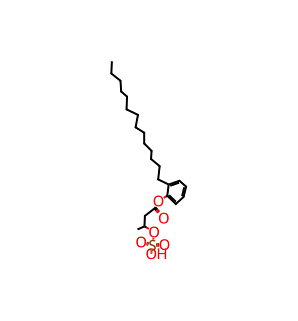 CCCCCCCCCCCCCCc1ccccc1OC(=O)CC(C)OS(=O)(=O)O